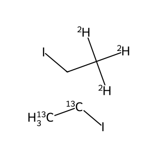 [13CH3][13CH2]I.[2H]C([2H])([2H])CI